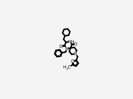 Cc1ccc(CN2CCC3(CC2)C(=O)NC(CC2CCCCC2)C(=O)N3Cc2ccccc2)o1